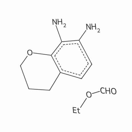 CCOC=O.Nc1ccc2c(c1N)OCCC2